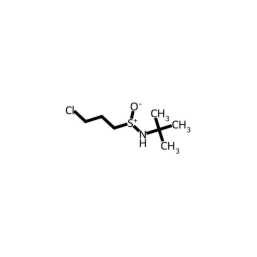 CC(C)(C)N[S+]([O-])CCCCl